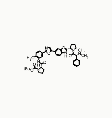 Cc1ccc(-c2ncc(-c3ccc4[nH]c([C@@H]5CCCN5C(=O)[C@@H](c5ccccc5)N(C)C)nc4c3)o2)cc1NC(=O)[C@@H]1CCCN1C(=O)OC(C)(C)C